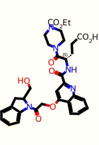 CCOC(=O)N1CCN(C(=O)[C@H](CCC(=O)O)NC(=O)c2cc(OCC(=O)N3c4ccccc4CC3CO)c3ccccc3n2)CC1